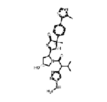 BBn1cc(C(C(=O)N2C[C@H](O)CC2C2=NC(=O)[C@](C)(c3ccc(-c4scnc4C)cc3)N2)C(C)C)nn1